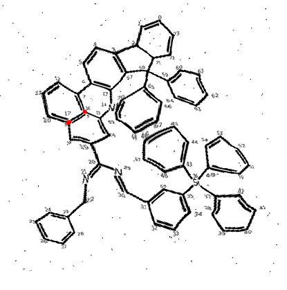 C1=CC2c3ccc(-c4ccccc4)c(Nc4cccc(C(=N/Cc5ccccc5)/N=C/c5cccc([Si](c6ccccc6)(c6ccccc6)c6ccccc6)c5)c4)c3C(c3ccccc3)(c3ccccc3)C2C=C1